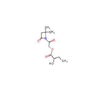 CCC(C)C(=O)OCC(=O)N1C(=O)CC1(C)C